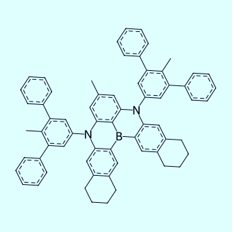 Cc1cc2c3c(c1)N(c1cc(-c4ccccc4)c(C)c(-c4ccccc4)c1)c1cc4c(cc1B3c1cc3c(cc1N2c1cc(-c2ccccc2)c(C)c(-c2ccccc2)c1)CCCC3)CCCC4